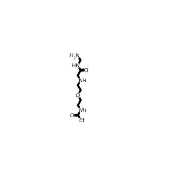 CCC(=O)NCCOCCNCC(=O)NCN